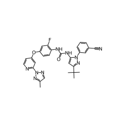 Cc1cnn(-c2cc(Oc3ccc(NC(=O)Nc4cc(C(C)(C)C)nn4-c4cccc(C#N)c4)c(F)c3)ccn2)n1